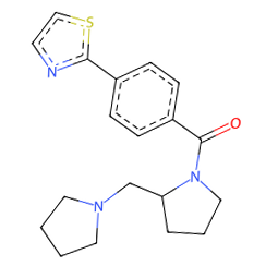 O=C(c1ccc(-c2nccs2)cc1)N1CCCC1CN1CCCC1